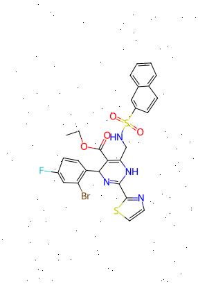 CCOC(=O)C1=C(CNS(=O)(=O)c2ccc3ccccc3c2)NC(c2nccs2)=NC1c1ccc(F)cc1Br